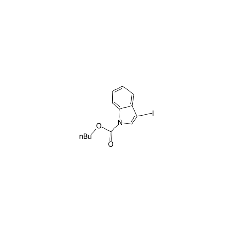 CCCCOC(=O)n1cc(I)c2ccccc21